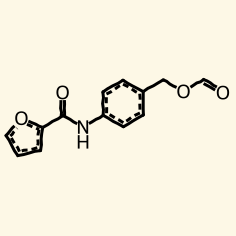 O=COCc1ccc(NC(=O)c2ccco2)cc1